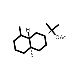 CC(=O)OC(C)(C)[C@@H]1CC[C@@]2(C)CCCC(C)[C@@H]2C1